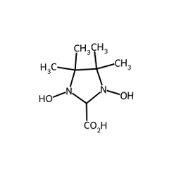 CC1(C)N(O)C(C(=O)O)N(O)C1(C)C